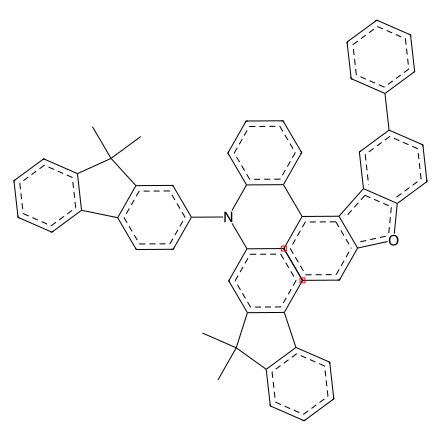 CC1(C)c2ccccc2-c2ccc(N(c3ccc4c(c3)C(C)(C)c3ccccc3-4)c3ccccc3-c3cccc4oc5ccc(-c6ccccc6)cc5c34)cc21